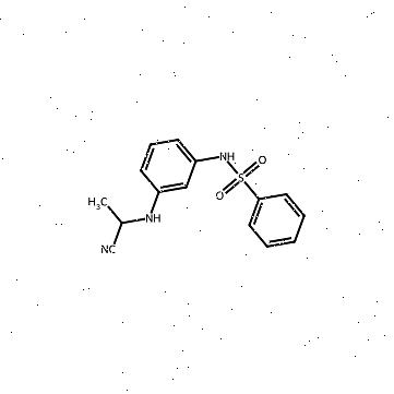 CC(C#N)Nc1cccc(NS(=O)(=O)c2ccccc2)c1